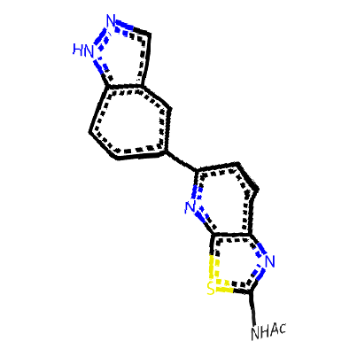 CC(=O)Nc1nc2ccc(-c3ccc4[nH]ncc4c3)nc2s1